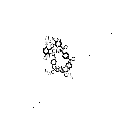 C[C@@H](Oc1cc(C(=O)Nc2ccc(C(=O)N3CCN(CC(C)(C)CCCC(C)(C)CC4CCCCC4)CC3)cc2)cnc1N)c1c(F)ccc(Cl)c1F